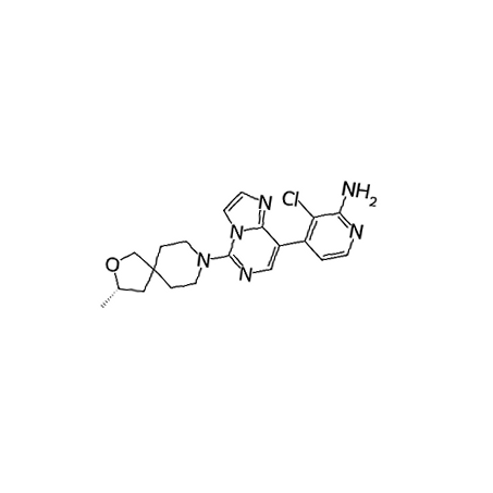 C[C@H]1CC2(CCN(c3ncc(-c4ccnc(N)c4Cl)c4nccn34)CC2)CO1